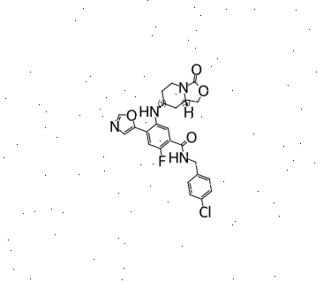 O=C(NCc1ccc(Cl)cc1)c1cc(N[C@H]2CCN3C(=O)OC[C@@H]3C2)c(-c2cnco2)cc1F